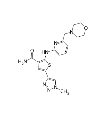 Cn1cc(-c2cc(C(N)=O)c(Nc3cccc(CN4CCOCC4)n3)s2)nn1